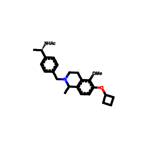 COc1c(OC2CCC2)ccc2c1CCN(Cc1ccc([C@H](C)NC(C)=O)cc1)C2C